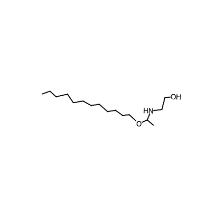 CCCCCCCCCCCCOC(C)NCCO